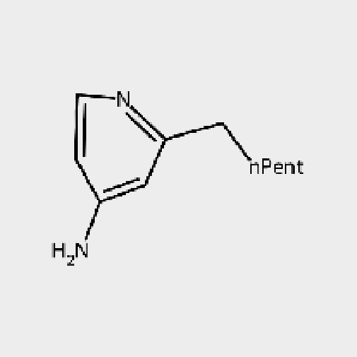 CCCCCCc1cc(N)ccn1